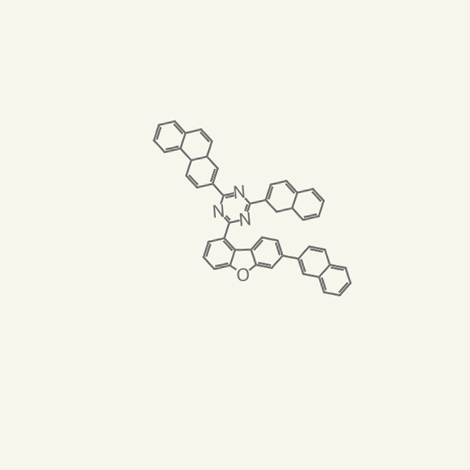 C1=CC2=CC=C(c3nc(C4=CC5C=Cc6ccccc6C5C=C4)nc(-c4cccc5oc6cc(-c7ccc8ccccc8c7)ccc6c45)n3)CC2C=C1